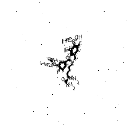 NC(=O)[C@@H](N)CCCCN(Cc1cc(F)c(B(O)O)c(F)c1)C(=O)c1ccc(F)c(B(O)O)c1